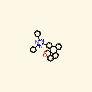 c1ccc(-c2nc(-c3ccccc3)nc(-c3ccc4c(c3)C3(c5ccccc5Oc5ccccc53)c3ccccc3-c3ccccc3-4)n2)cc1